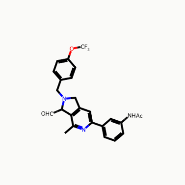 CC(=O)Nc1cccc(-c2cc3c(c(C)n2)C(C=O)N(Cc2ccc(OC(F)(F)F)cc2)C3)c1